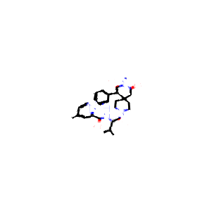 Cc1ccnc(C(=O)N[C@@H](C(=O)N2CCC3(CC2)CC(=O)N(C)C(=O)C3c2ccccc2)C(C)C)c1